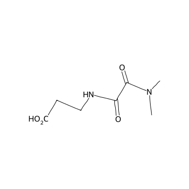 CN(C)C(=O)C(=O)NCCC(=O)O